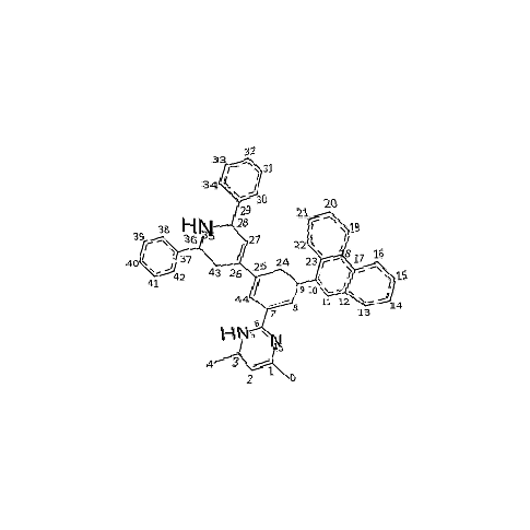 CC1=CC(C)NC(C2=CC(c3cc4ccccc4c4ccccc34)CC(C3=CC(c4ccccc4)NC(c4ccccc4)C3)=C2)=N1